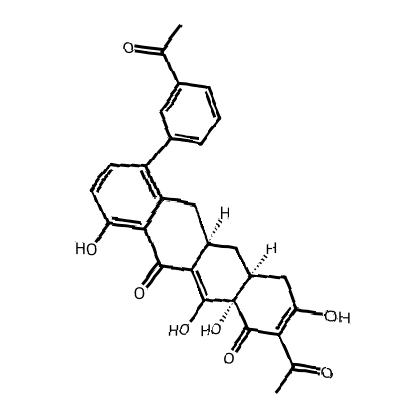 CC(=O)C1=C(O)C[C@@H]2C[C@@H]3Cc4c(-c5cccc(C(C)=O)c5)ccc(O)c4C(=O)C3=C(O)[C@]2(O)C1=O